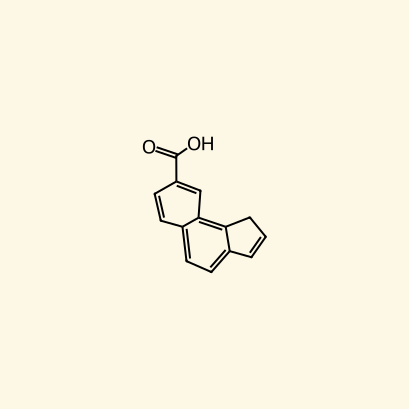 O=C(O)c1ccc2ccc3c(c2c1)CC=C3